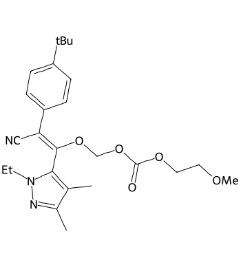 CCn1nc(C)c(C)c1/C(OCOC(=O)OCCOC)=C(\C#N)c1ccc(C(C)(C)C)cc1